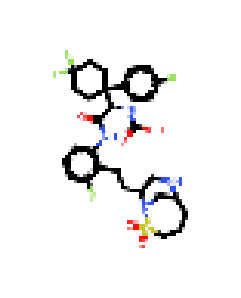 O=C(O)N[C@H](C(=O)Nc1cccc(F)c1CC[C@H]1CNC2CCCS(=O)(=O)N1C2)C1(c2ccc(F)cc2)CCC(F)(F)CC1